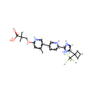 Cc1cc(OCC(C)(C)C(=O)O)ncc1-c1ccc(-c2ncc(C3(C(F)(F)F)CCC3)[nH]2)nc1